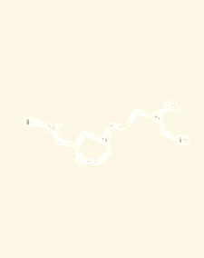 CC(C)CN(C)CCCN1CCOC(CNC(C)C)C1